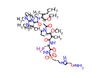 CC[C@H](C)[C@@H]([C@@H](CC(=O)N1CCC[C@H]1[C@H](OC)[C@@H](C)C(=O)N[C@@H](CP)C(=O)NS(=O)(=O)CCCn1cc(CON)[nH]1)OC)N(C)C(=O)[C@@H](N=C(N(C)C)N(C)C)C(C)C